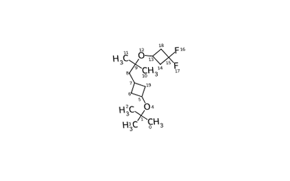 CC(C)(C)OC1CC(CC(C)(C)OC2CC(F)(F)C2)C1